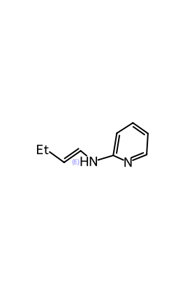 CC/C=C/Nc1ccccn1